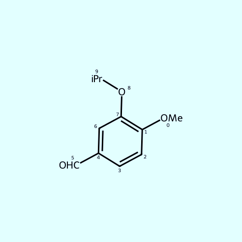 COc1ccc(C=O)cc1OC(C)C